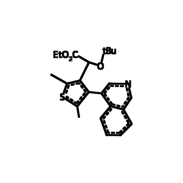 CCOC(=O)C(OC(C)(C)C)c1c(C)sc(C)c1-c1cncc2ccccc12